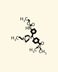 CCCN1CCN([C@H](c2ccc(C(=O)N(CC)CC)cc2)c2cccc(NC(=O)OCC)c2)CC1